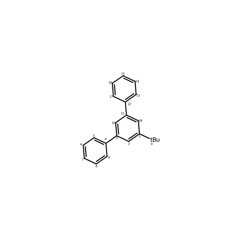 CC(C)(C)c1cc(-c2ccccc2)cc(-c2ccccc2)c1